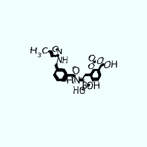 Cc1cc(NCc2cccc(C(=O)N[C@@H](Cc3cccc(C(=O)O)c3OC=O)B(O)O)c2)no1